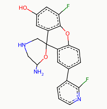 NC1CNCC2(O1)c1cc(-c3cccnc3F)ccc1Oc1c(F)cc(O)cc12